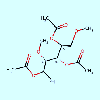 [2H]C(OC(C)=O)[C@H](OC)[C@@H](OC(C)=O)[C@H](COC)OC(C)=O